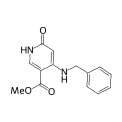 COC(=O)c1c[nH]c(=O)cc1NCc1ccccc1